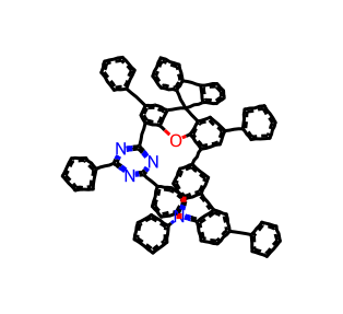 c1ccc(-c2cc(-c3ccc4c(c3)c3cc(-c5ccccc5)ccc3n4-c3ccccc3)c3c(c2)C2(c4ccccc4-c4ccccc42)c2cc(-c4ccccc4)cc(-c4nc(-c5ccccc5)nc(-c5ccccc5)n4)c2O3)cc1